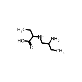 CCC(N)CNC(CC)C(=O)O